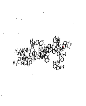 CC(C)C[C@H](NC(=O)[C@H](CO)NC(=O)[C@H](Cc1c[nH]c2ccccc12)NC(=O)[C@H](Cc1ccc(O)cc1)NC(=O)[C@H](C)NC(=O)[C@H](CCCCN)NC(=O)[C@@H](NC(=O)[C@H](CCCNC(=N)N)NC(=O)[C@@H](N)[C@@H](C)O)[C@@H](C)O)C(=O)N1CCC[C@H]1C(=O)NCC(=O)NCC(=O)O